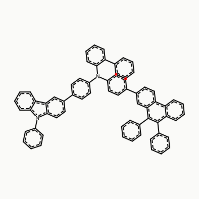 c1ccc(-c2ccccc2N(c2ccc(-c3ccc4c(c3)c(-c3ccccc3)c(-c3ccccc3)c3ccccc34)cc2)c2ccc(-c3ccc4c(c3)c3ccccc3n4-c3ccccc3)cc2)cc1